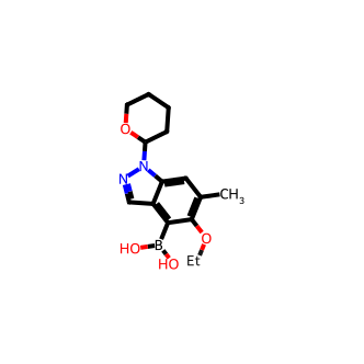 CCOc1c(C)cc2c(cnn2C2CCCCO2)c1B(O)O